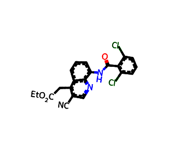 CCOC(=O)Cc1c(C#N)cnc2c(NC(=O)c3c(Cl)cccc3Cl)cccc12